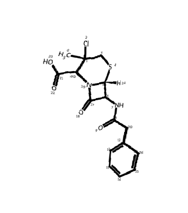 CC1(Cl)CS[C@@H]2C(NC(=O)Cc3ccccc3)C(=O)N2C1C(=O)O